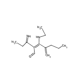 C=C(CCC)/C(NCC)=C(\C=O)C(=N)CC